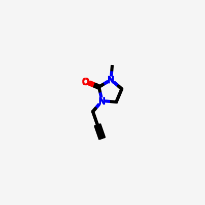 C#CCN1CCN(C)C1=O